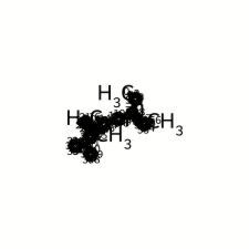 Cc1cccc(-c2cc(-c3ccc(-c4cc(C)c(-n5c6ccccc6c6cc(N(c7ccccc7)c7ccccc7)ccc65)c(C)c4)cc3)nc(-c3cccc(C)c3)n2)c1